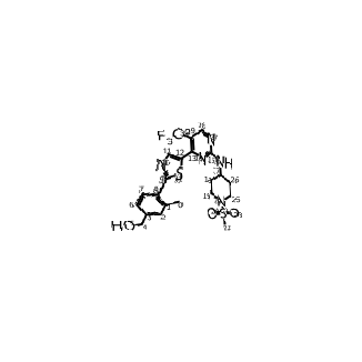 Cc1cc(CO)ccc1-c1ncc(-c2nc(NC3CCN(S(C)(=O)=O)CC3)ncc2C(F)(F)F)s1